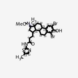 CO/N=C1\CC(CCC(=O)Nc2ncc(C)s2)C2C3CCc4c(cc(Br)c(O)c4Br)C3CCC12C